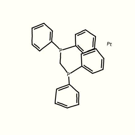 [Pt].c1ccc(P(CP(c2ccccc2)c2ccccc2)c2ccccc2)cc1